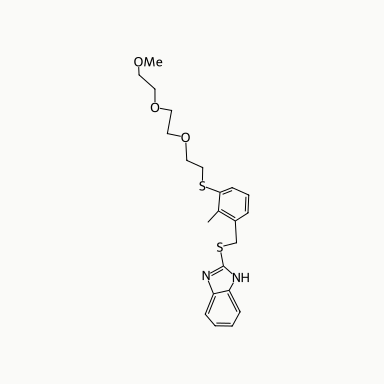 COCCOCCOCCSc1cccc(CSc2nc3ccccc3[nH]2)c1C